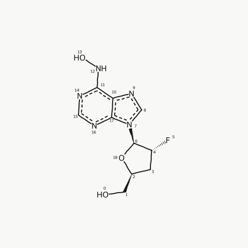 OC[C@@H]1C[C@@H](F)[C@H](n2cnc3c(NO)ncnc32)O1